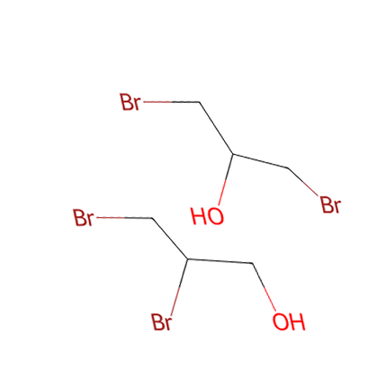 OC(CBr)CBr.OCC(Br)CBr